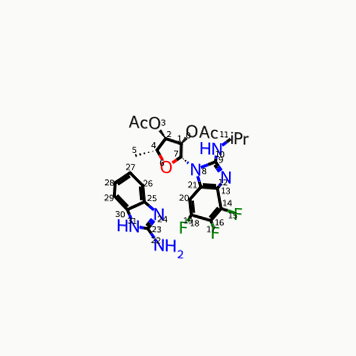 CC(=O)O[C@@H]1[C@H](OC(C)=O)[C@@H](C)O[C@H]1n1c(NC(C)C)nc2c(F)c(F)c(F)cc21.Nc1nc2ccccc2[nH]1